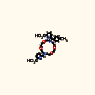 Cc1ccc(C(c2cccc(C(=O)O)n2)N2CCOCCOCCN(Cc3cccc(C(=O)O)n3)CCOCCOCC2)cc1